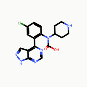 O=C(O)N(c1ccc(Cl)cc1-c1ncnc2[nH]ncc12)C1CCNCC1